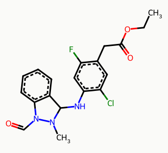 CCOC(=O)Cc1cc(Cl)c(NC2c3ccccc3N(C=O)N2C)cc1F